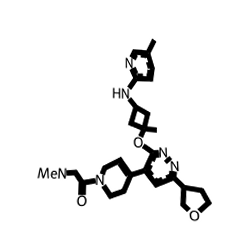 CNCC(=O)N1CC=C(c2cc(C3CCOC3)nnc2OC2(C)CC(Nc3ccc(C)cn3)C2)CC1